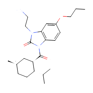 CCCOc1ccc2c(c1)n(CCN)c(=O)n2C(=O)[C@@H]1C[C@H](C)CC[C@H]1C(C)C